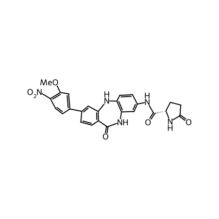 COc1cc(-c2ccc3c(c2)Nc2ccc(NC(=O)[C@@H]4CCC(=O)N4)cc2NC3=O)ccc1[N+](=O)[O-]